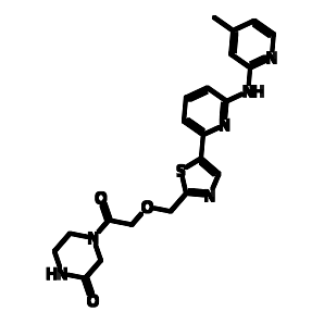 Cc1ccnc(Nc2cccc(-c3cnc(COCC(=O)N4CCNC(=O)C4)s3)n2)c1